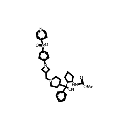 COC(=O)N[C@H]1CCC[C@@H]1C(C#N)(c1ccccc1)C1CCN(CC2CN(c3ccc(S(=O)(=O)c4ccncc4)cc3)C2)CC1